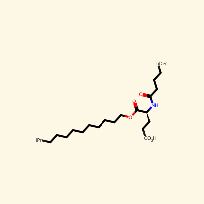 CCCCCCCCCCCCCC(=O)N[C@@H](CCC(=O)O)C(=O)OCCCCCCCCCCC(C)C